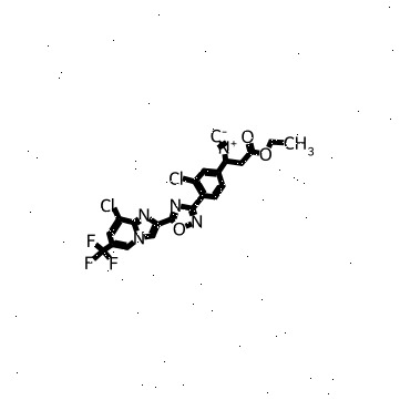 [C-]#[N+]C(CC(=O)OCC)c1ccc(-c2noc(-c3cn4cc(C(F)(F)F)cc(Cl)c4n3)n2)c(Cl)c1